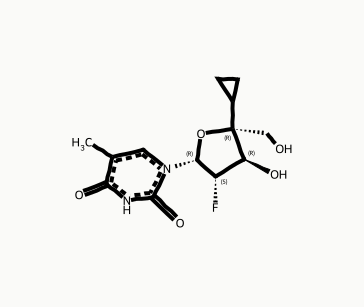 Cc1cn([C@@H]2O[C@@](CO)(C3CC3)[C@@H](O)[C@@H]2F)c(=O)[nH]c1=O